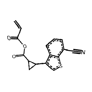 C=CC(=O)OC(=O)C1CC1c1csc2c(C#N)cccc12